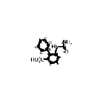 NC(=O)Nc1cccc(C(=O)O)c1-c1ccccc1